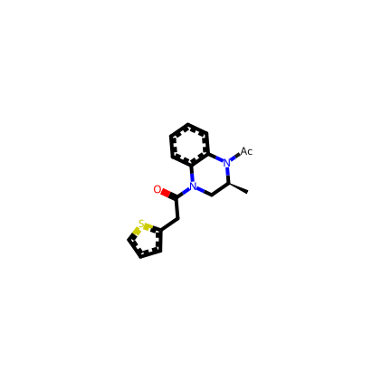 CC(=O)N1c2ccccc2N(C(=O)Cc2cccs2)C[C@@H]1C